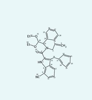 C=CCN(C(=O)c1[nH]c2c(C#N)cccc2c1Cc1ccccc1)C(c1ccccc1)C(OCC)OCC